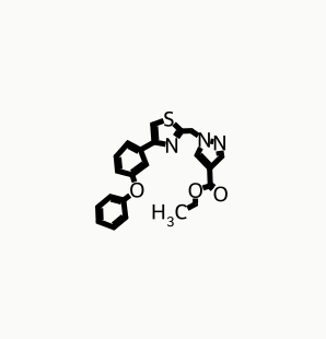 CCOC(=O)c1cnn(Cc2nc(-c3cccc(Oc4ccccc4)c3)cs2)c1